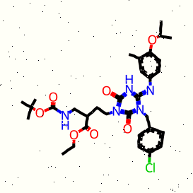 CCOC(=O)C(CCn1c(=O)[nH]/c(=N\c2ccc(OC(C)C)c(C)c2)n(Cc2ccc(Cl)cc2)c1=O)CNC(=O)OC(C)(C)C